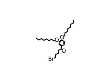 CCCCCCCCOc1ccc(C(=O)CCCCBr)cc1OCCCCCCCC